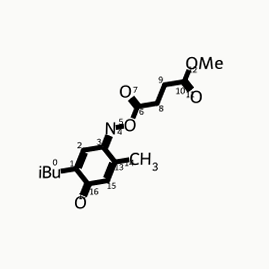 CCC(C)C1=CC(=NOC(=O)CCC(=O)OC)C(C)=CC1=O